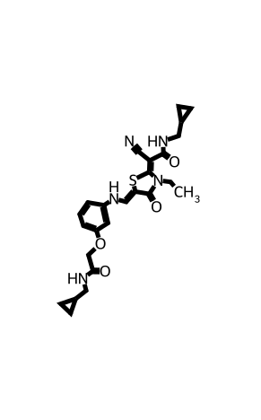 CCn1c(=C(C#N)C(=O)NCC2CC2)sc(=CNc2cccc(OCC(=O)NCC3CC3)c2)c1=O